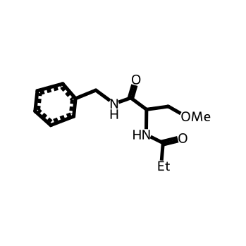 CCC(=O)NC(COC)C(=O)NCc1ccccc1